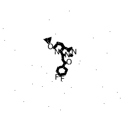 O=C(CC1c2nc(OC3CC3)ccc2-c2cncn21)C1CCC(F)(F)CC1